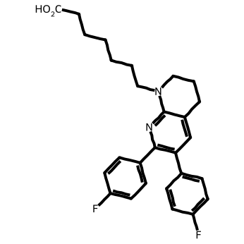 O=C(O)CCCCCCN1CCCc2cc(-c3ccc(F)cc3)c(-c3ccc(F)cc3)nc21